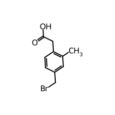 Cc1cc(CBr)ccc1CC(=O)O